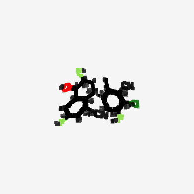 Cc1c([C@H]2C[C@H](F)C(=O)c3cc(F)cc(C#N)c32)cc(F)c(Cl)c1C#N